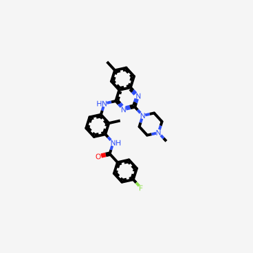 Cc1ccc2nc(N3CCN(C)CC3)nc(Nc3cccc(NC(=O)c4ccc(F)cc4)c3C)c2c1